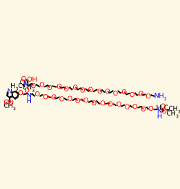 CC(C)(C)N(CCOCCOCCOCCOCCOCCOCCOCCOCCOCCOCCOCCOCCOCCOCCOCCN)C(=O)O.COC(=O)c1ccnc2cc(OCC(=O)NCCOCCOCCOCCOCCOCCOCCOCCOCCOCCOCCOCCOCCOCCOCCOCCNC(=O)OC(C)(C)C)ccc12